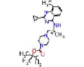 Cc1cccc2c(N[C@@H](C)CN3CCN(C(=O)OC(C)(C)C)CC3)nc(C3CC3)nc12